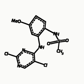 COc1ccc(NS(C)(=O)=O)c(Nc2nc(Cl)ncc2Cl)c1